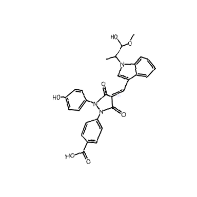 COC(O)C(C)n1cc(/C=C2\C(=O)N(c3ccc(O)cc3)N(c3ccc(C(=O)O)cc3)C2=O)c2ccccc21